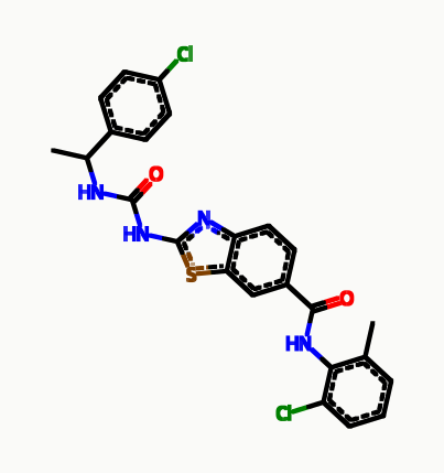 Cc1cccc(Cl)c1NC(=O)c1ccc2nc(NC(=O)NC(C)c3ccc(Cl)cc3)sc2c1